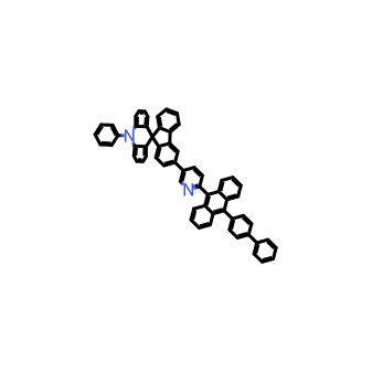 c1ccc(-c2ccc(-c3c4ccccc4c(-c4ccc(-c5ccc6c(c5)-c5ccccc5C65c6ccccc6N(c6ccccc6)c6ccccc65)cn4)c4ccccc34)cc2)cc1